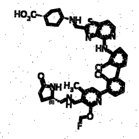 Cc1cc(-c2cccc(-c3cccc(Nc4nccc5sc(CN[C@H]6CC[C@@H](C(=O)O)CC6)nc45)c3Cl)c2Cl)nc(OCF)c1CNC[C@@H]1CCC(=O)N1